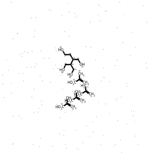 C=C(C)C(=O)O.C=C(C)C(=O)O.C=C(C)C(=O)O.C=C(C)C(=O)O.OCCC(CO)C(CO)CO